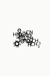 CC1(C)[C@@H]2[C@@H](C(=O)N[C@H](C#N)C[C@@H]3CC4(CC4)NC3=O)N(C(=O)OCc3ccccc3)C[C@@H]21